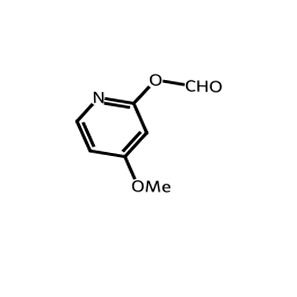 COc1ccnc(OC=O)c1